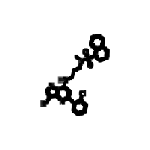 CN(CCCNc1cc(-c2ccccc2Cl)nc2c(Br)cnn12)S(=O)(=O)c1cccc2ccccc12